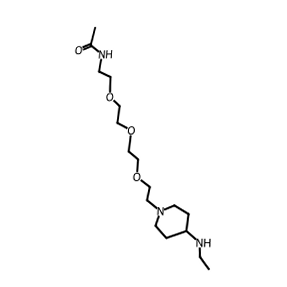 CCNC1CCN(CCOCCOCCOCCNC(C)=O)CC1